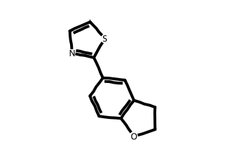 [c]1cnc(-c2ccc3c(c2)CCO3)s1